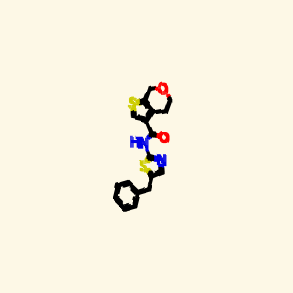 O=C(Nc1ncc(Cc2ccccc2)s1)c1csc2c1CCOC2